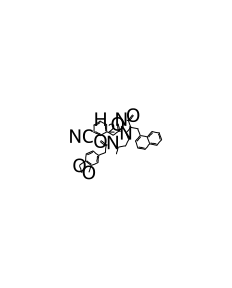 CC1CCN(C(Cc2cccc3ccccc23)C(N)=O)C(=O)C(c2cccc(C#N)c2)N1C(=O)Cc1ccc2c(c1)OCO2